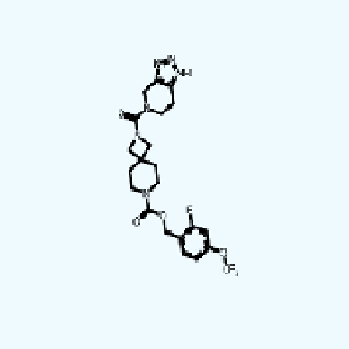 O=C(OCc1ccc(OC(F)(F)F)cc1F)N1CCC2(CC1)CN(C(=O)N1CCc3[nH]nnc3C1)C2